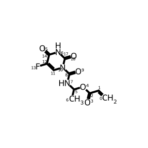 C=CC(=O)OC(C)NC(=O)n1cc(F)c(=O)[nH]c1=O